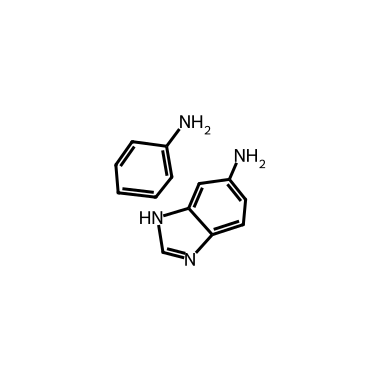 Nc1ccc2nc[nH]c2c1.Nc1ccccc1